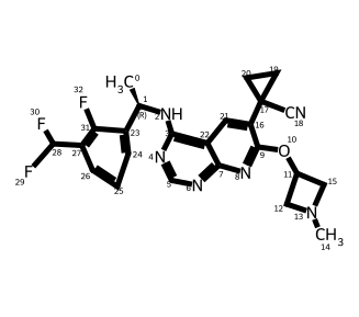 C[C@@H](Nc1ncnc2nc(OC3CN(C)C3)c(C3(C#N)CC3)cc12)c1cccc(C(F)F)c1F